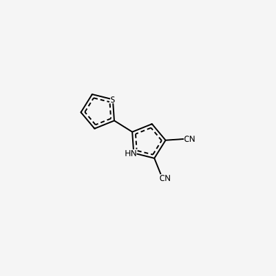 N#Cc1cc(-c2cccs2)[nH]c1C#N